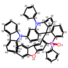 O=P1(c2ccccc2)c2ccccc2C2(c3ccccc3N(c3ccccc3)c3cc(-n4c5ccccc5c5ccccc54)ccc32)c2cc3c(cc21)oc1ccccc13